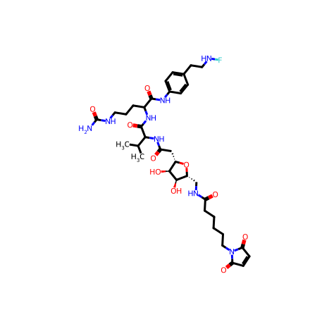 CC(C)C(NC(=O)C[C@@H]1O[C@H](CNC(=O)CCCCCN2C(=O)C=CC2=O)[C@@H](O)[C@H]1O)C(=O)NC(CCCNC(N)=O)C(=O)Nc1ccc(CCNF)cc1